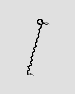 CCCCCCCCCCCCCCCCCCCCCCCCCCCCCCc1ccccc1O